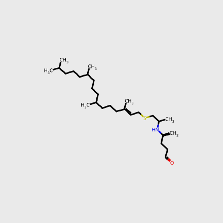 C=C(CCC=O)NC(C)CSC/C=C(\C)CCCC(C)CCCC(C)CCCC(C)C